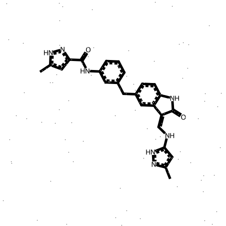 Cc1cc(N/C=C2\C(=O)Nc3ccc(Cc4cccc(NC(=O)c5cc(C)[nH]n5)c4)cc32)[nH]n1